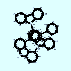 c1ccc(-c2ccc(-c3cccc4sc5cccc(-n6c7ccccc7c7cc(-n8c9ccccc9c9ccccc98)ccc76)c5c34)cc2)cc1